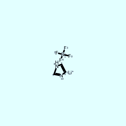 F[B-](F)(F)F.[Li+].c1c[nH]cn1